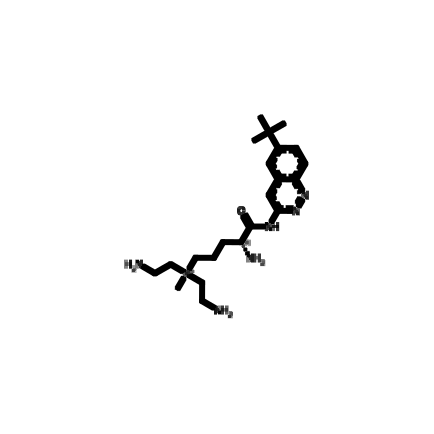 CC(C)(C)c1ccc2nnc(NC(=O)[C@H](N)CCC[N+](C)(CCN)CCN)cc2c1